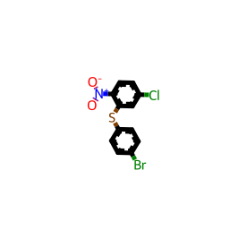 O=[N+]([O-])c1ccc(Cl)cc1Sc1ccc(Br)cc1